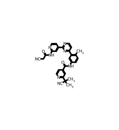 Cc1ccc(NC(=O)c2ccnc(C(C)(C)C#N)c2)cc1-c1ccnc(-c2ccnc(NC(=O)CC#N)c2)n1